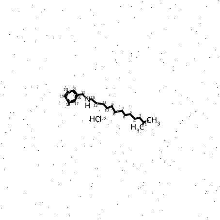 CC(C)CCCCCCCCCCCNCc1ccccc1.Cl